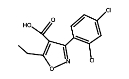 CCc1onc(-c2ccc(Cl)cc2Cl)c1C(=O)O